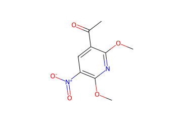 COc1nc(OC)c([N+](=O)[O-])cc1C(C)=O